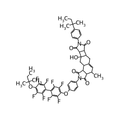 CCC(C)(C)Oc1c(F)c(F)c(-c2c(F)c(F)c(Oc3ccc(N4C(=O)C5C(C)C=C6CC7C8C(=O)N(c9ccc(C(C)(C)CC)cc9)C(=O)C8C7(O)CC6C5C4=O)cc3)c(F)c2F)c(F)c1F